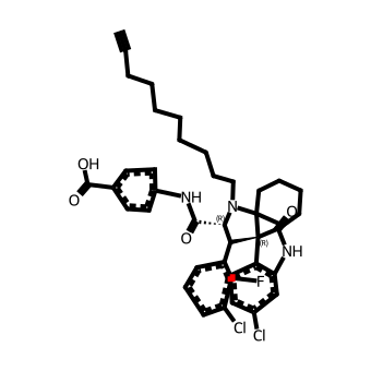 C#CCCCCCCCCN1[C@@H](C(=O)Nc2ccc(C(=O)O)cc2)C(c2cccc(Cl)c2F)[C@]2(C(=O)Nc3cc(Cl)ccc32)C12CCCCC2